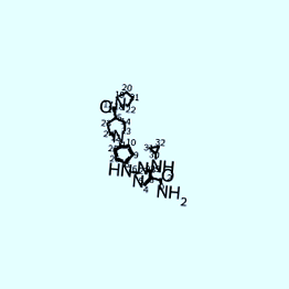 NC(=O)c1cnc(Nc2ccc(N3CCC(C(=O)N4CCCC4)CC3)cc2)nc1NC1CC1